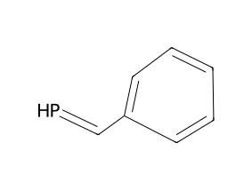 P=Cc1ccccc1